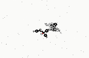 CC(C)C[C@@H](NC(=O)COc1ccc(C2C(CCC(=O)c3ccc(F)cc3)C(=O)N2c2ccc(F)cc2)cc1)C(=O)N[C@H](Cc1ccccc1)C(=O)OC(C)(C)C